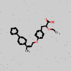 CCOC(Cc1ccc(OC/C=C(/C)c2ccc(-c3ccccc3)cc2)cc1)C(=O)O